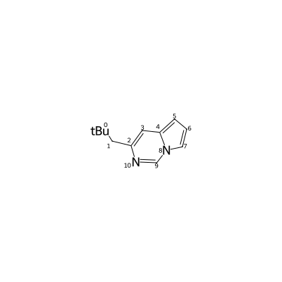 CC(C)(C)Cc1cc2cccn2cn1